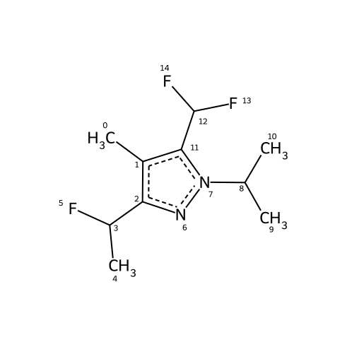 Cc1c(C(C)F)nn(C(C)C)c1C(F)F